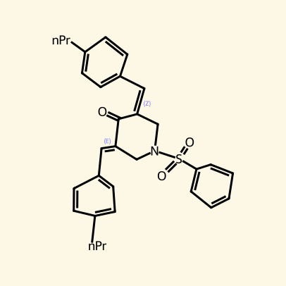 CCCc1ccc(/C=C2/CN(S(=O)(=O)c3ccccc3)C/C(=C\c3ccc(CCC)cc3)C2=O)cc1